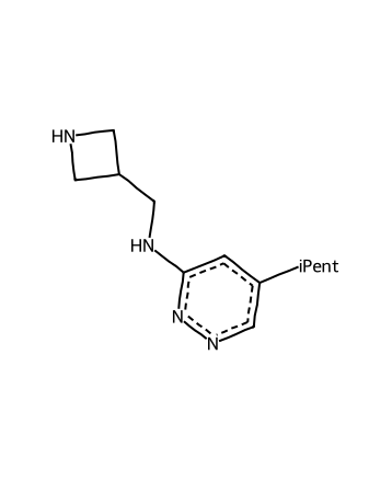 CCCC(C)c1cnnc(NCC2CNC2)c1